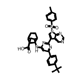 Cc1ccc(S(=O)(=O)n2cc(-c3nc(NC4C5CCC(CC5)C4C(=O)O)cc(-c4ccc(C(C)(C)C)cc4)n3)c3cncnc32)cc1